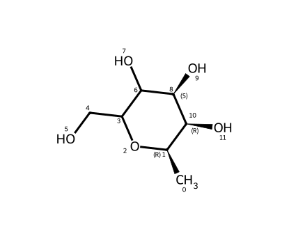 C[C@H]1OC(CO)C(O)[C@@H](O)[C@H]1O